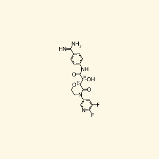 N=C(N)c1ccc(NC(=O)[C@H](O)[C@H]2OCCN(c3cnc(F)c(F)c3)C2=O)cc1